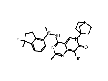 Cc1nc(N[C@H](C)c2cccc3c2CCC3(F)F)c2cn(C34CCN(CC3)C4)c(=O)c(Br)c2n1